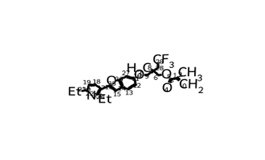 C=C(C)C(=O)OCC(C)(COc1ccc2cc(-c3ccc(CC)nc3CC)oc2c1)CC(F)(F)F